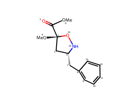 COC(=O)[C@@]1(OC)C[C@@H](Cc2ccccc2)NO1